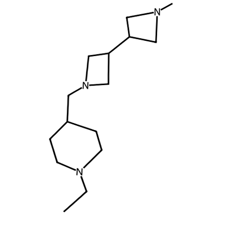 CCN1CCC(CN2CC(C3CN(C)C3)C2)CC1